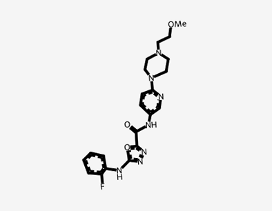 COCCN1CCN(c2ccc(NC(=O)c3nnc(Nc4ccccc4F)o3)cn2)CC1